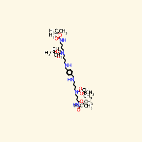 CC(C)(C)OC(=O)NCCCCN(CCCCNCc1ccc(CNCCCCN(CCCC(NC=O)OC(C)(C)C)C(=O)OC(C)(C)C)cc1)C(=O)OC(C)(C)C